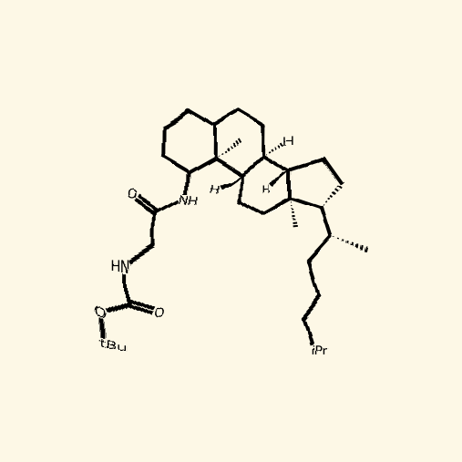 CC(C)CCC[C@@H](C)[C@H]1CC[C@H]2[C@@H]3CCC4CCCC(NC(=O)CNC(=O)OC(C)(C)C)[C@]4(C)[C@H]3CC[C@]12C